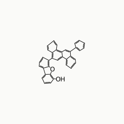 Oc1cccc2c1oc1c(-c3cc4c5ccccc5c(-c5ccccc5)cc4c4ccccc34)cccc12